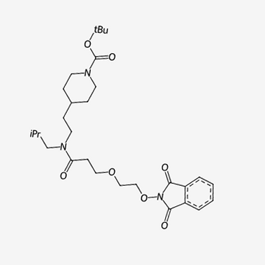 CC(C)CN(CCC1CCN(C(=O)OC(C)(C)C)CC1)C(=O)CCOCCON1C(=O)c2ccccc2C1=O